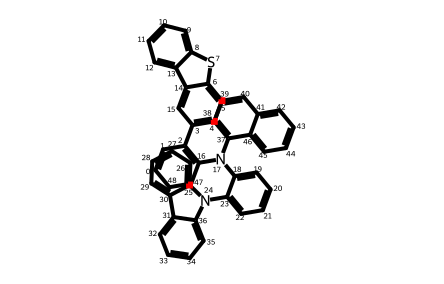 C1=CC(c2ccc3sc4ccccc4c3c2)=C(N(c2ccccc2-n2c3ccccc3c3ccccc32)c2cccc3ccccc23)CC1